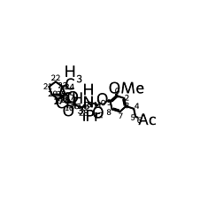 COc1cc(CCC(C)=O)ccc1OC(=O)N[C@@H](C(=O)OC1CC2CCC1(C)C2(C)C)C(C)C